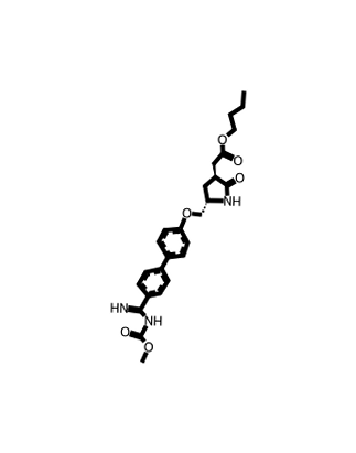 CCCCOC(=O)C[C@@H]1C[C@@H](COc2ccc(-c3ccc(C(=N)NC(=O)OC)cc3)cc2)NC1=O